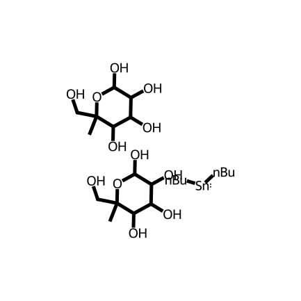 CC1(CO)OC(O)C(O)C(O)C1O.CC1(CO)OC(O)C(O)C(O)C1O.CCC[CH2][Sn][CH2]CCC